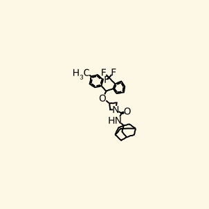 Cc1ccc(C(OC2CN(C(=O)NC34CC5CC(CC(C5)C3)C4)C2)c2ccccc2C(F)(F)F)cc1